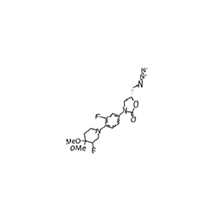 COC1(OC)CCN(c2ccc(N3C[C@H](CN=[N+]=[N-])OC3=O)cc2F)CC1F